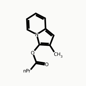 CCCC(=O)Oc1c(C)cc2ccccn12